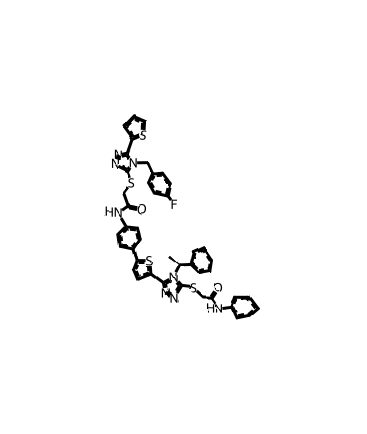 C[C@@H](c1ccccc1)n1c(SCC(=O)Nc2ccccc2)nnc1-c1ccc(-c2ccc(NC(=O)CSc3nnc(-c4cccs4)n3Cc3ccc(F)cc3)cc2)s1